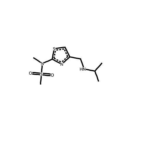 CC(C)NCc1csc(N(C)S(C)(=O)=O)n1